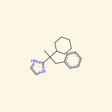 [CH2]C(Cc1ccccc1)(c1ncc[nH]1)C1CCCCC1